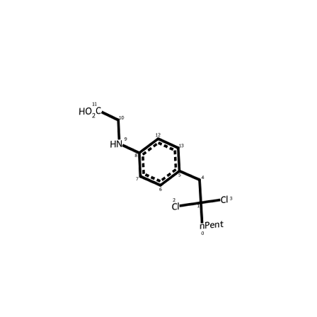 CCCCCC(Cl)(Cl)Cc1ccc(NCC(=O)O)cc1